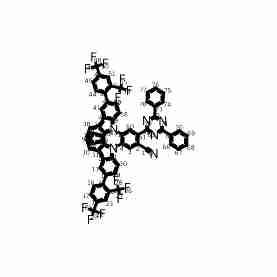 N#Cc1cc(-n2c3ccccc3c3cc(-c4ccc(C(F)(F)F)cc4C(F)(F)F)ccc32)c(-n2c3ccccc3c3cc(-c4ccc(C(F)(F)F)cc4C(F)(F)F)ccc32)cc1-c1nc(-c2ccccc2)nc(-c2ccccc2)n1